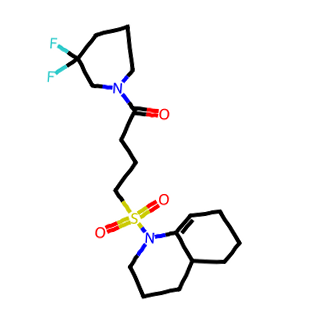 O=C(CCCS(=O)(=O)N1CCCC2CCCC=C21)N1CCCC(F)(F)C1